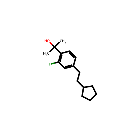 CC(C)(O)c1ccc(C[CH]C2CCCC2)cc1F